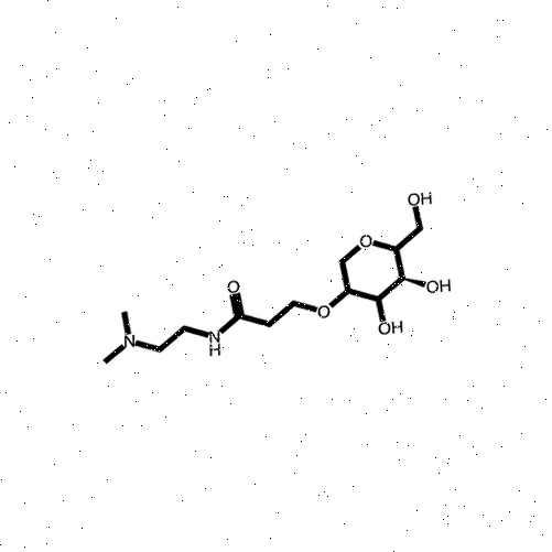 CN(C)CCNC(=O)CCOC1COC(CO)[C@@H](O)C1O